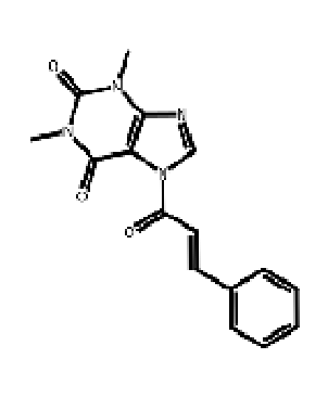 Cn1c(=O)c2c(ncn2C(=O)C=Cc2ccccc2)n(C)c1=O